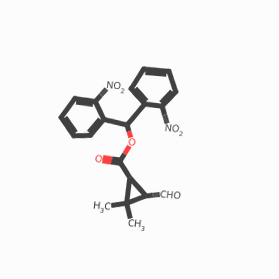 CC1(C)C(C=O)C1C(=O)OC(c1ccccc1[N+](=O)[O-])c1ccccc1[N+](=O)[O-]